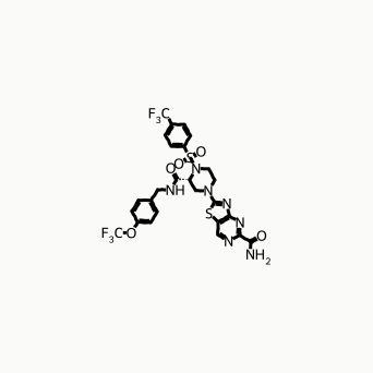 NC(=O)c1ncc2sc(N3CCN(S(=O)(=O)c4ccc(C(F)(F)F)cc4)[C@@H](C(=O)NCc4ccc(OC(F)(F)F)cc4)C3)nc2n1